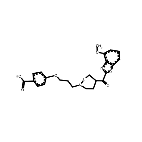 COc1cccc2sc(C(=O)C3CCN(CCCOc4ccc(C(=O)O)cc4)CC3)nc12